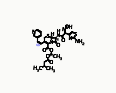 CC(C)CC(=O)O[C@@H](C)OC(=O)C1=C(/C=C\c2cccnc2)CS[C@H]2[C@H](NC(=O)C(=NO)c3csc(N)n3)C(=O)N12